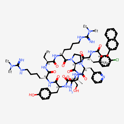 CCN(CC)C(=N)NCCCC[C@H](NC(=O)[C@H](CC(C)C)NC(=O)[C@@H](CCCCNC(=N)N(CC)CC)NC(=O)[C@H](Cc1ccc(O)cc1)NC(=O)[C@H](CO)NC(=O)[C@@H](Cc1cccnc1)NC(=O)[C@@H](Cc1ccc(Cl)cc1)NC(=O)[C@@H](Cc1ccc2ccccc2c1)NC(C)=O)C(=O)N1CCC[C@H]1C(=O)N[C@H](C)C(N)=O